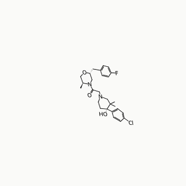 C[C@H]1CO[C@H](Cc2ccc(F)cc2)CN1C(=O)CN1CC[C@](O)(c2ccc(Cl)cc2)C(C)(C)C1